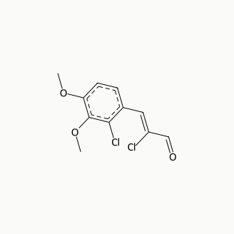 COc1ccc(C=C(Cl)C=O)c(Cl)c1OC